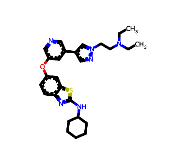 CCN(CC)CCn1cc(-c2cncc(Oc3ccc4nc(NC5CCCCC5)sc4c3)c2)cn1